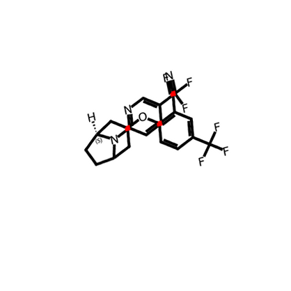 N#Cc1cc(C(F)(F)F)ccc1OC1CC2CC[C@@H](C1)N2c1ccc(C(F)(F)F)cn1